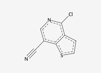 N#Cc1cnc(Cl)c2ccsc12